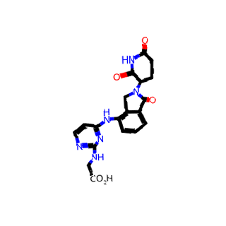 O=C(O)CNc1nccc(Nc2cccc3c2CN(C2CCC(=O)NC2=O)C3=O)n1